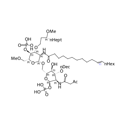 CCCCCC/C=C/CCCCCCCCCC(=O)N[C@H]1[C@H](OC[C@H]2O[C@H](OP(=O)(O)O)[C@H](NC(=O)CC(C)=O)[C@@H](OCCCCCCCCCC)[C@@H]2O)O[C@H](COC)[C@@H](OP(=O)(O)O)[C@@H]1OCC[C@@H](CCCCCCC)OC